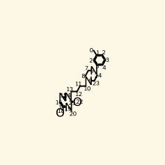 Cc1cccc(N2CCN(CCCCn3ncc(=O)n(C)c3=O)CC2)c1